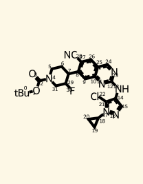 CC(C)(C)OC(=O)N1CCC(c2cc3nc(Nc4cnn(C5CC5)c4Cl)ncc3cc2C#N)C(F)C1